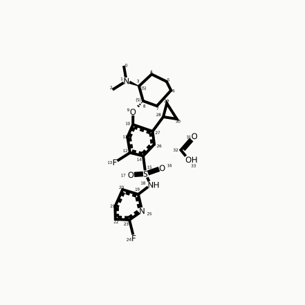 CN(C)[C@H]1CCCC[C@@H]1Oc1cc(F)c(S(=O)(=O)Nc2cccc(F)n2)cc1C1CC1.O=CO